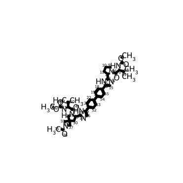 COC(=O)N[C@H](C(=O)N1CCCC1c1ncc(-c2ccc(-c3ccc(-c4cnc(C5CC6(CN(C(C)=O)C6)CN5C(=O)[C@@H](NC(=O)OC)C(C)C)[nH]4)cc3)cc2)[nH]1)C(C)C